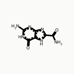 NC(=O)c1nc2nc(N)[nH]c(=O)c2[nH]1